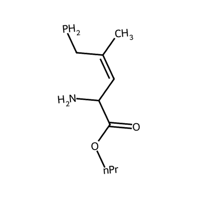 CCCOC(=O)C(N)C=C(C)CP